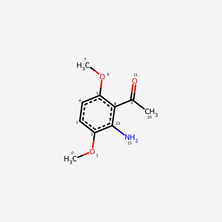 COc1ccc(OC)c(C(C)=O)c1N